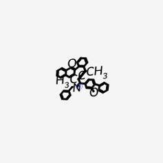 CC(=C=C(C)c1cccc2oc3c4ccccc4ccc3c12)/C(=N\Cc1ccccc1)c1ccc2c(c1)oc1ccccc12